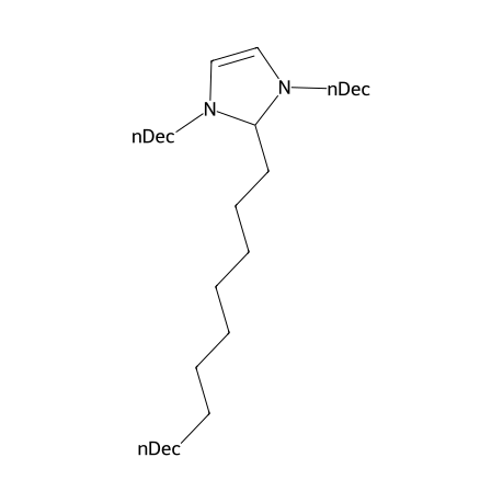 CCCCCCCCCCCCCCCCCC1N(CCCCCCCCCC)C=CN1CCCCCCCCCC